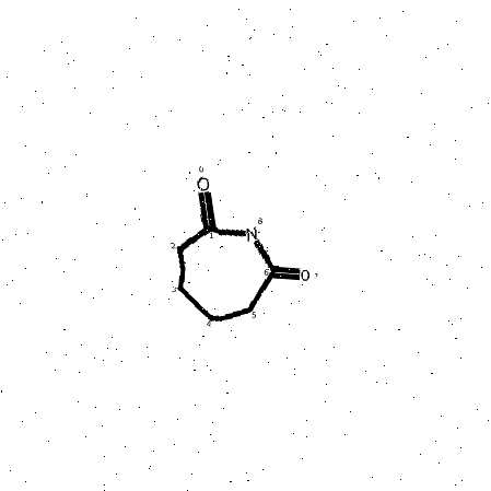 O=C1CCCCC(=O)[N]1